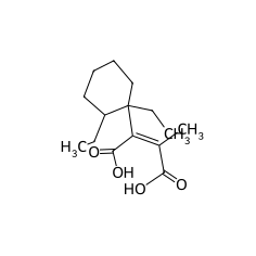 CCC1CCCCC1(CC)/C(C(=O)O)=C(\C)C(=O)O